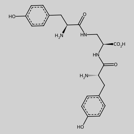 N[C@@H](Cc1ccc(O)cc1)C(=O)NC[C@H](NC(=O)[C@@H](N)Cc1ccc(O)cc1)C(=O)O